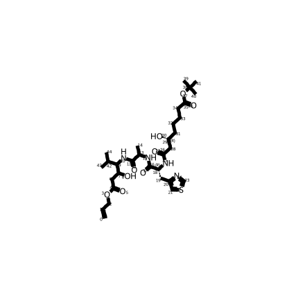 C=CCOC(=O)CC(O)C(NC(=O)C(C)NC(=O)[C@@H](Cc1cscn1)NC(=O)C[C@H](O)CCCCC(=O)OC(C)(C)C)C(C)C